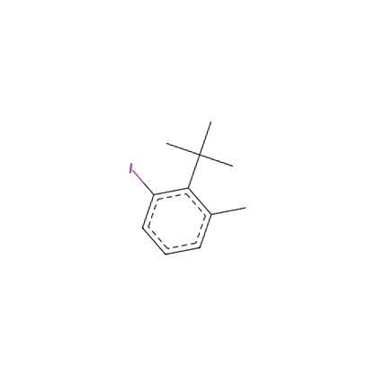 Cc1cccc(I)c1C(C)(C)C